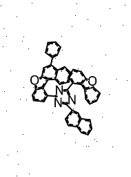 c1ccc(-c2cc3oc4cccc(-c5nc(-c6ccc7ccccc7c6)nc(-c6cccc7oc8ccccc8c67)n5)c4c3c3ccccc23)cc1